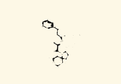 CCOC(=O)[C@H](CCc1ccccc1)NC(C)C(=O)N1[C@H](C(=O)O)CCC12CCOCC2